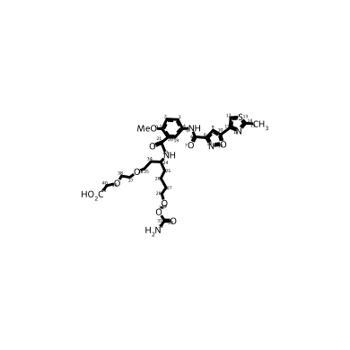 COc1ccc(NC(=O)c2cc(-c3csc(C)n3)on2)cc1C(=O)NC(CCCCOOC(N)=O)CCOCCOCC(=O)O